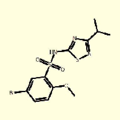 COc1ccc(Br)cc1S(=O)(=O)Nc1nc(C(C)C)ns1